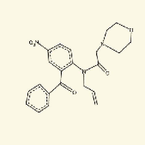 C=CCN(C(=O)CN1CCOCC1)c1ccc([N+](=O)[O-])cc1C(=O)c1ccccc1